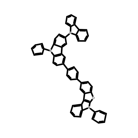 c1ccc(-n2c3ccc(-c4ccc(-c5ccc6oc7c(c6c5)c5ccccc5n7-c5ccccc5)cc4)cc3c3cc(-n4c5ccccc5c5ccccc54)ccc32)cc1